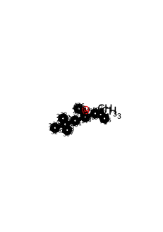 CC1(C)c2ccccc2-c2cc(-c3ccc(-c4ccc(-c5c6ccccc6c(-c6ccccc6)c6ccccc56)cc4)c4c3oc3ccccc34)ccc21